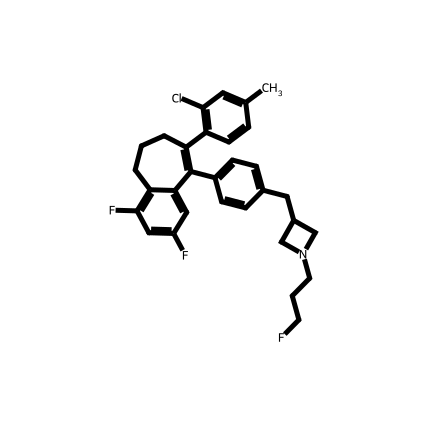 Cc1ccc(C2=C(c3ccc(CC4CN(CCCF)C4)cc3)c3cc(F)cc(F)c3CCC2)c(Cl)c1